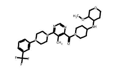 COC1COCCC1NC1CCN(C(=O)c2ncnc(N3CCN(c4cccc(C(F)(F)F)c4)CC3)c2C)CC1